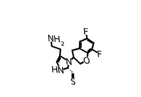 NCCC1=CN[C@@H](C=S)N1C1COc2c(F)cc(F)cc2C1